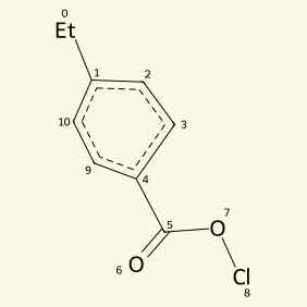 CCc1ccc(C(=O)OCl)cc1